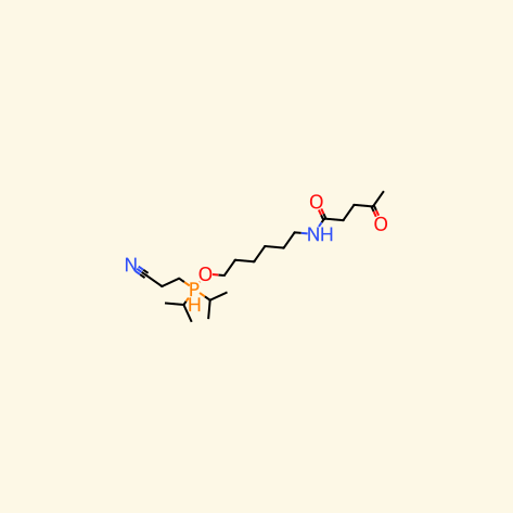 CC(=O)CCC(=O)NCCCCCCO[PH](CCC#N)(C(C)C)C(C)C